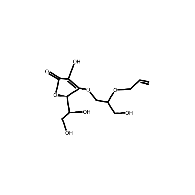 C=CCOC(CO)COC1=C(O)C(=O)O[C@@H]1[C@@H](O)CO